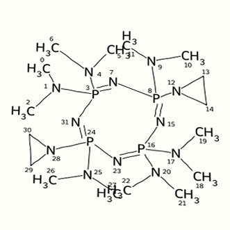 CN(C)P1(N(C)C)=NP(N(C)C)(N2CC2)=NP(N(C)C)(N(C)C)=NP(N(C)C)(N2CC2)=N1